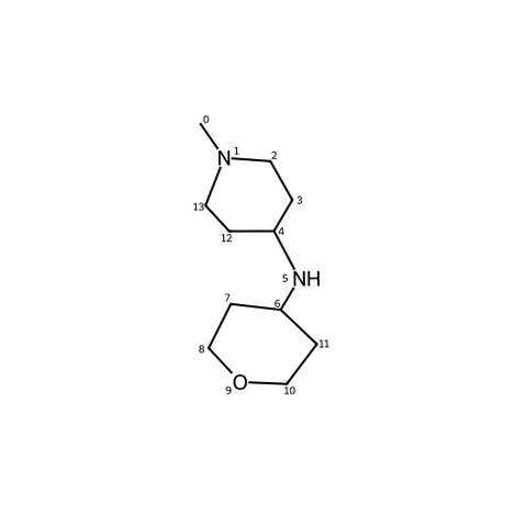 CN1CCC(NC2CCOCC2)CC1